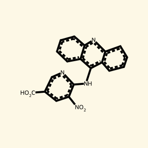 O=C(O)c1cnc(Nc2c3ccccc3nc3ccccc23)c([N+](=O)[O-])c1